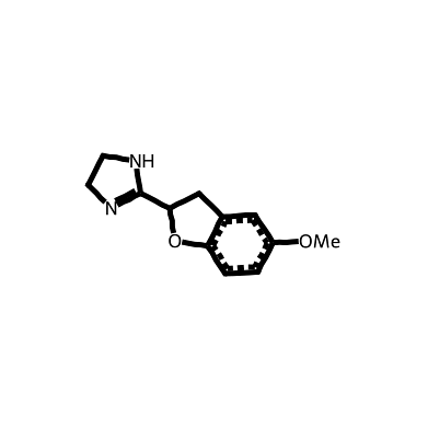 COc1ccc2c(c1)CC(C1=NCCN1)O2